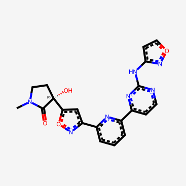 CN1CC[C@@](O)(c2cc(-c3cccc(-c4ccnc(Nc5ccon5)n4)n3)no2)C1=O